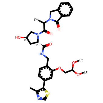 CCOC(COc1cc(-c2scnc2C)ccc1CNC(=O)[C@@H]1C[C@@H](O)CN1C(=O)C(C(C)C)N1Cc2ccccc2C1=O)OCC